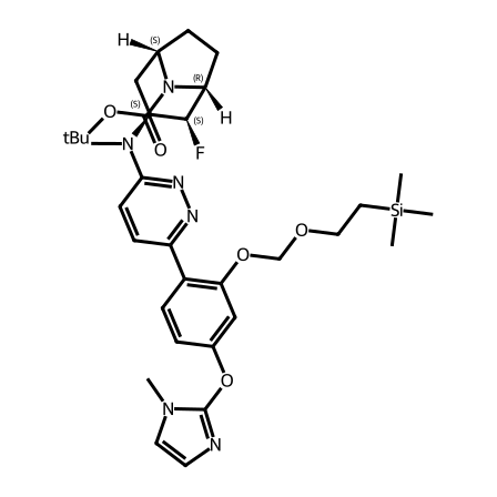 CN(c1ccc(-c2ccc(Oc3nccn3C)cc2OCOCC[Si](C)(C)C)nn1)[C@H]1C[C@@H]2CC[C@H]([C@H]1F)N2C(=O)OC(C)(C)C